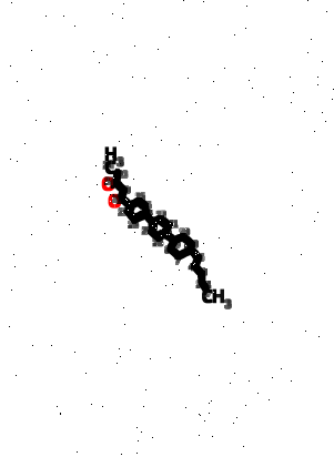 CCCCCCC1CCC(c2ccc(-c3ccc(C(=O)CC(=O)CC)cc3)cc2)CC1